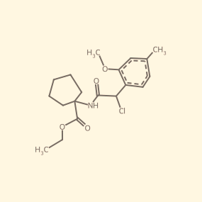 CCOC(=O)C1(NC(=O)C(Cl)c2ccc(C)cc2OC)CCCCC1